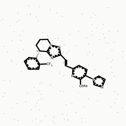 COc1nc(/C=C/c2nc3n(n2)CCC[C@H]3c2ccccc2C(F)(F)F)ccc1-n1ccnc1